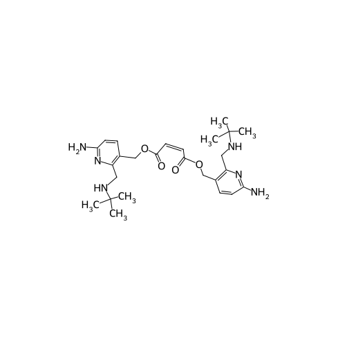 CC(C)(C)NCc1nc(N)ccc1COC(=O)/C=C\C(=O)OCc1ccc(N)nc1CNC(C)(C)C